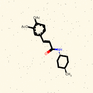 CC(=O)Oc1ccc(/C=C/C(=O)N[C@H]2CC[C@H](C)CC2)cc1OC(C)=O